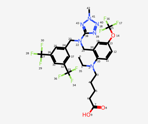 CCN(CCCCC(=O)O)c1ccc(OC(F)(F)F)cc1CN(Cc1cc(C(F)(F)F)cc(C(F)(F)F)c1)c1nnn(C)n1